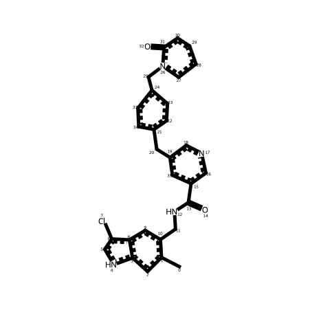 Cc1cc2[nH]cc(Cl)c2cc1CNC(=O)c1cncc(Cc2ccc(Cn3ccccc3=O)cc2)c1